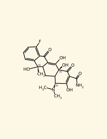 CN(C)[C@@H]1C(O)=C(C(N)=O)C(=O)[C@@]2(O)C(O)=C3C(=O)c4c(F)cccc4[C@@](C)(O)C3CC12